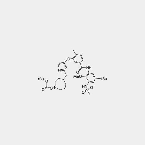 COc1c(NC(=O)c2ccc(C)c(Oc3ccnc(CC4CCCN(OC(=O)OC(C)(C)C)CC4)c3)c2)cc(C(C)(C)C)cc1NS(C)(=O)=O